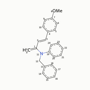 C=C(/C=C/c1ccc(OC)cc1)N(Cc1ccccc1)c1ccccc1